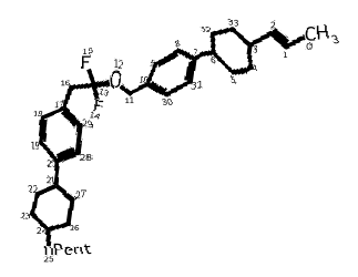 CC=CC1CCC(c2ccc(COC(F)(F)Cc3ccc(C4CCC(CCCCC)CC4)cc3)cc2)CC1